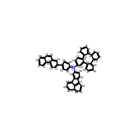 c1ccc2c(c1)-c1ccccc1-c1ccc(N(c3ccc(-c4ccc5c(ccc6ccccc65)c4)cc3)c3ccc4c(c3)-c3cccc5cccc-4c35)cc1-c1ccccc1-2